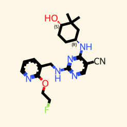 CC1(C)C[C@H](Nc2nc(NCc3cccnc3OCCF)ncc2C#N)CC[C@@H]1O